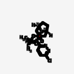 CN(c1ccc(Cl)nn1)C1C[C@H]2CC[C@@H](C1)N2C(=O)OC(C)(C)C